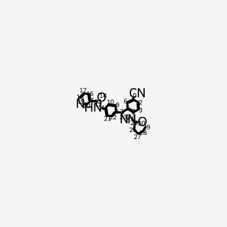 N#Cc1ccc2c(c1)c(-c1ccc(NC(=O)c3cccnc3)cc1)nn2C1CCCCO1